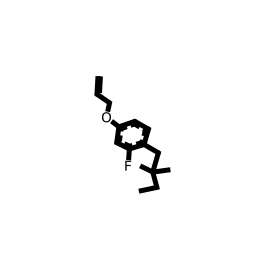 C=CCOc1ccc(CC(C)(C)CC)c(F)c1